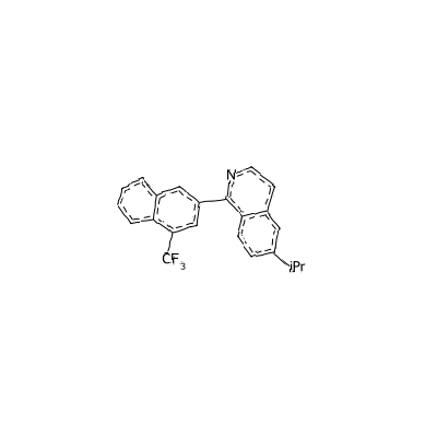 CC(C)c1ccc2c(-c3cc(C(F)(F)F)c4ccccc4c3)nccc2c1